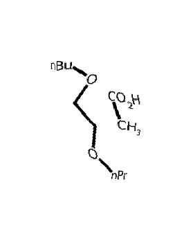 CC(=O)O.CCCCOCCOCCC